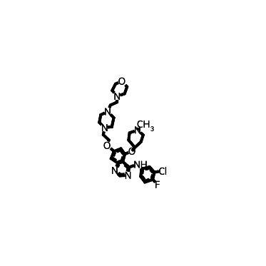 CN1CCC(Oc2cc(OCCN3CCN(CCN4CCOCC4)CC3)cc3ncnc(Nc4ccc(F)c(Cl)c4)c23)CC1